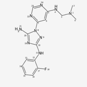 CN(C)CNc1cc(-n2nc(Nc3ccccc3F)nc2N)ncn1